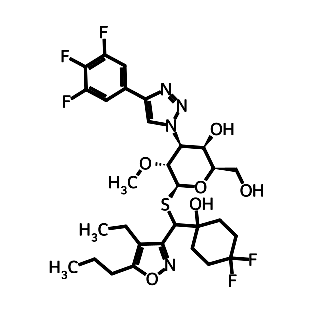 CCCc1onc(C(S[C@@H]2O[C@H](CO)[C@H](O)[C@H](n3cc(-c4cc(F)c(F)c(F)c4)nn3)[C@H]2OC)C2(O)CCC(F)(F)CC2)c1CC